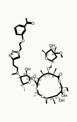 CC[C@H]1OC(=O)[C@H](C)[C@@H](OC[C@H]2C[C@@](C)(OC)[C@@H](O)[C@H](C)O2)[C@H](C)[C@@H](O[C@@H]2O[C@H](C)C[C@H](N(C)CCc3cn(CCOc4cccc(C(C)=O)c4)nn3)[C@H]2O)[C@](C)(O)C[C@@H](C)CN(C)[C@H](C)[C@@H](O)[C@]1(C)O